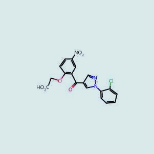 O=C(O)COc1ccc([N+](=O)[O-])cc1C(=O)c1cnn(-c2ccccc2Cl)c1